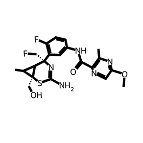 COc1cnc(C(=O)Nc2ccc(F)c([C@@]3(CF)N=C(N)S[C@@]4(CO)C(C)C43)c2)c(C)n1